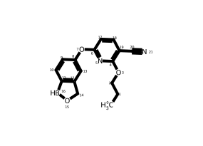 CCCOc1nc(Oc2ccc3c(c2)COB3)ccc1C#N